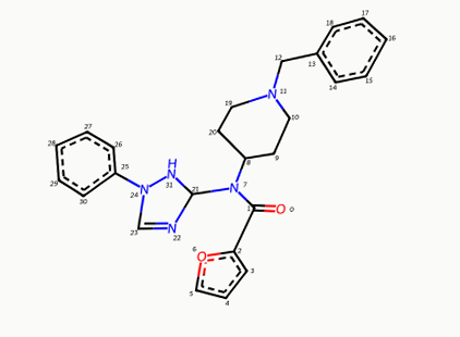 O=C(c1ccco1)N(C1CCN(Cc2ccccc2)CC1)C1N=CN(c2ccccc2)N1